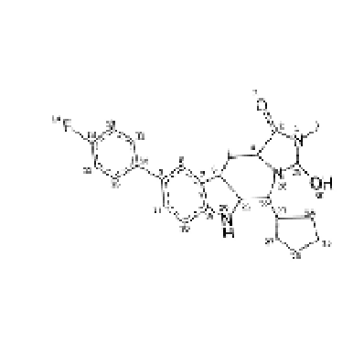 CN1C(=O)C2CC3c4cc(-c5ccc(F)cc5)ccc4NC3C(C3CCCC3)N2C1O